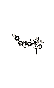 CC#CC(=O)N1CCCC[C@H]1c1nc(-c2ccc(C(=O)Nc3cc(-c4ccc(Cl)cc4)ccn3)cc2)c(C(N)=O)n1N